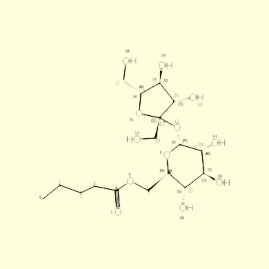 CCCCC(=O)OC[C@H]1O[C@H](O[C@]2(CO)O[C@H](CO)[C@@H](O)[C@@H]2O)[C@H](O)[C@@H](O)[C@@H]1O